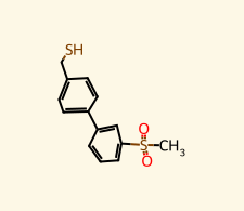 CS(=O)(=O)c1cccc(-c2ccc(CS)cc2)c1